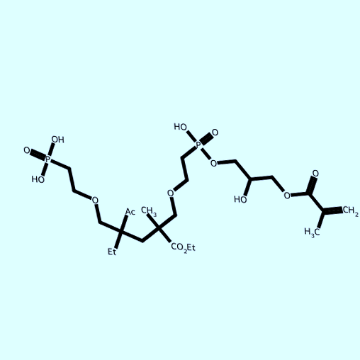 C=C(C)C(=O)OCC(O)COP(=O)(O)CCOCC(C)(CC(CC)(COCCP(=O)(O)O)C(C)=O)C(=O)OCC